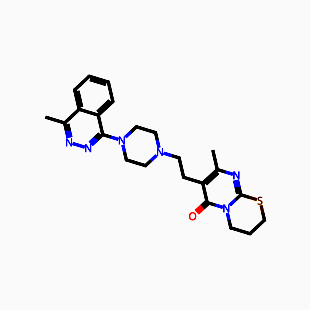 Cc1nc2n(c(=O)c1CCN1CCN(c3nnc(C)c4ccccc34)CC1)CCCS2